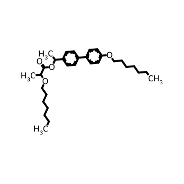 CCCCCCCOc1ccc(-c2ccc(C(C)OC(=O)C(C)OCCCCCCC)cc2)cc1